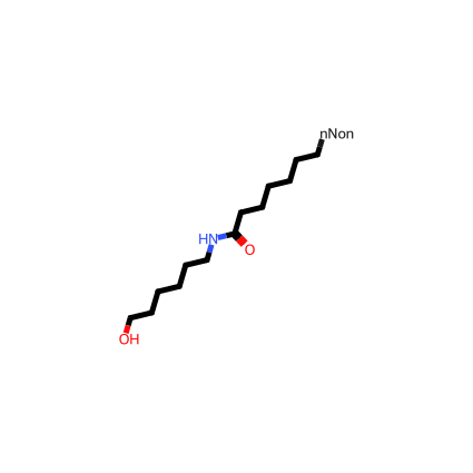 CCCCCCCCCCCCCCCC(=O)NCCCCCCO